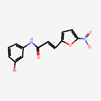 O=C(/C=C/c1ccc([N+](=O)[O-])o1)Nc1cccc(Br)c1